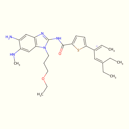 C/C=C(\C=C(CC)CC)c1ccc(C(=O)Nc2nc3cc(N)c(NC)cc3n2CCCOCC)s1